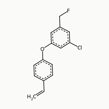 C=Cc1ccc(Oc2cc(Cl)cc(CF)c2)cc1